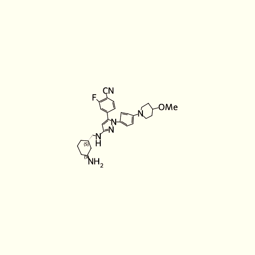 COC1CCN(c2ccc(-n3nc(NC[C@H]4CCC[C@H](N)C4)cc3-c3ccc(C#N)c(F)c3)cc2)CC1